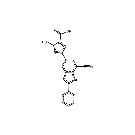 Cc1nc(-c2cc(C#N)c3[nH]c(-c4ccccc4)cc3c2)sc1C(=O)O